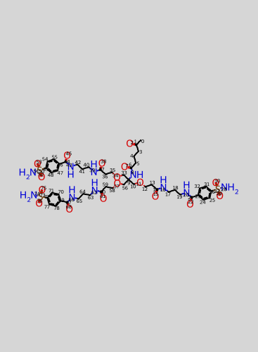 CC(=O)CCCC(=O)NC(COCCC(=O)NCCCNC(=O)c1ccc(S(N)(=O)=O)cc1)(COCCC(=O)NCCCNC(=O)c1ccc(S(N)(=O)=O)cc1)COCCC(=O)NCCCNC(=O)c1ccc(S(N)(=O)=O)cc1